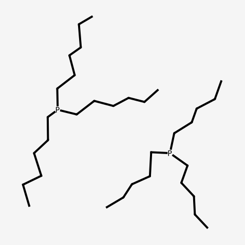 CCCCCCP(CCCCCC)CCCCCC.CCCCCP(CCCCC)CCCCC